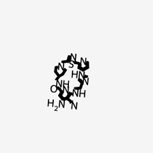 N#Cc1c(N)cc(C(=O)NCC2CCN(Cc3cnc(-c4ccccn4)s3)CC2)nc1NCCc1c[nH]cn1